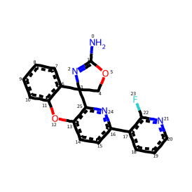 NC1=NC2(CO1)c1ccccc1Oc1ccc(-c3cccnc3F)nc12